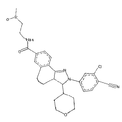 C[S+]([O-])CCNC(=O)c1ccc2c(c1)CCC1C2=NN(c2ccc(C#N)c(Cl)c2)C1C1CCOCC1